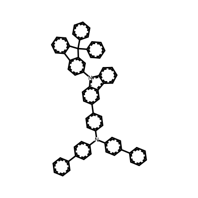 c1ccc(-c2ccc(N(c3ccc(-c4ccccc4)cc3)c3ccc(-c4ccc5c(c4)c4ccccc4n5-c4ccc5c(c4)C(c4ccccc4)(c4ccccc4)c4ccccc4-5)cc3)cc2)cc1